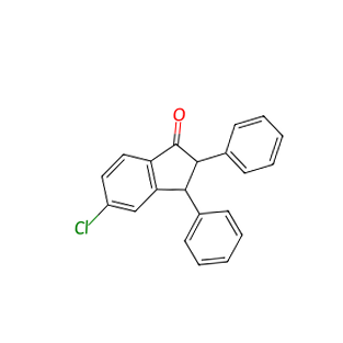 O=C1c2ccc(Cl)cc2C(c2ccccc2)C1c1ccccc1